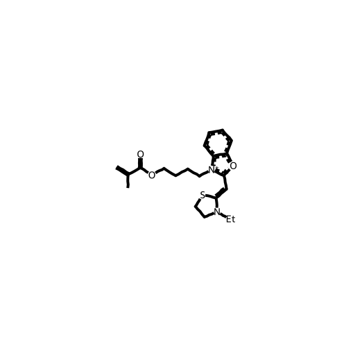 C=C(C)C(=O)OCCCC[n+]1c(C=C2SCCN2CC)oc2ccccc21